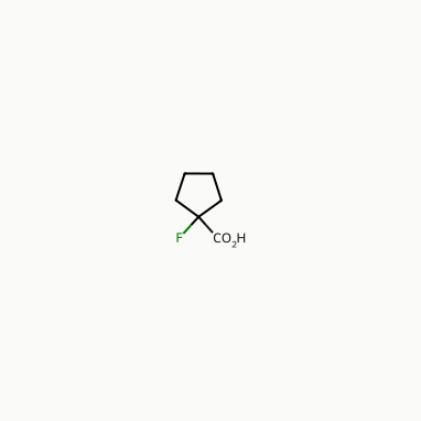 O=C(O)C1(F)CCCC1